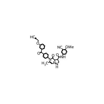 C#CCOc1cccc(C(=O)c2ccc(N3C(=O)C4C(C(=O)Nc5ccc(OC)c(C#N)c5)CNN4C=C3C)cc2)c1